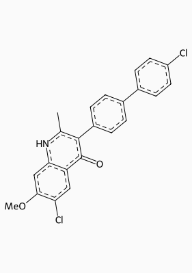 COc1cc2[nH]c(C)c(-c3ccc(-c4ccc(Cl)cc4)cc3)c(=O)c2cc1Cl